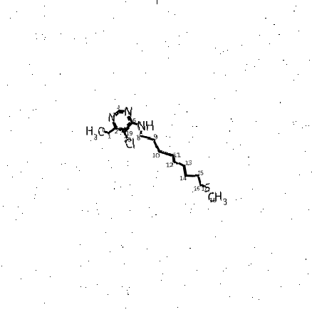 CCc1ncnc(NCCCCCCCCCSC)c1Cl